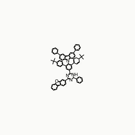 CC(C)(C)c1ccc(-c2cc(C3=NC(c4ccc5c(c4)oc4ccccc45)=NC(c4ccccc4)N3)cc(C3=CCC(C(C)(C)C)C=C3)c2-n2c3ccc(-c4ccccc4)cc3c3cc(-c4ccccc4)ccc32)cc1